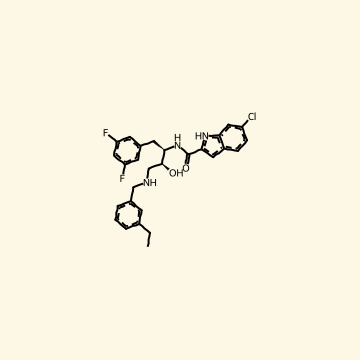 CCc1cccc(CNC[C@H](O)[C@@H](Cc2cc(F)cc(F)c2)NC(=O)c2cc3ccc(Cl)cc3[nH]2)c1